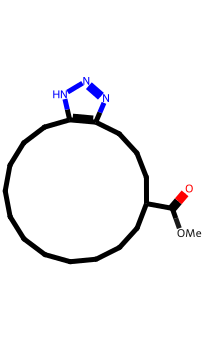 COC(=O)C1CCCCCCCCCCCc2[nH]nnc2CCC1